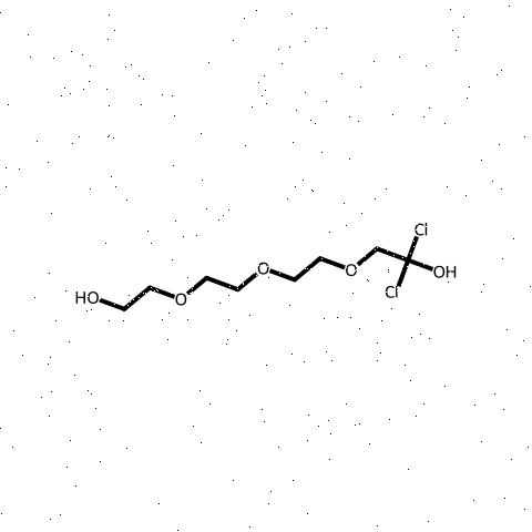 OCCOCCOCCOCC(O)(Cl)Cl